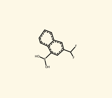 OB(O)c1cc(C(F)F)cc2ccccc12